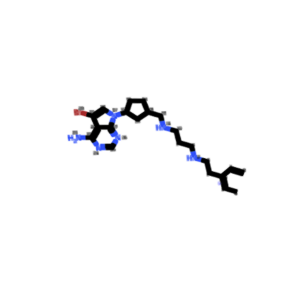 C=C/C(=C\C)CCNCCCNCC1CCC(n2cc(Br)c3c(N)ncnc32)C1